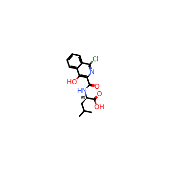 CC(C)C[C@@H](NC(=O)c1nc(Cl)c2ccccc2c1O)C(=O)O